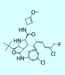 C=C(/C=C\C=C(\Cl)CF)[C@H]1[C@H](C(=O)N[C@H]2C=C(OC)C2)N[C@H](CC(C)(C)C)[C@]12C(=O)Nc1cc(Cl)ccc12